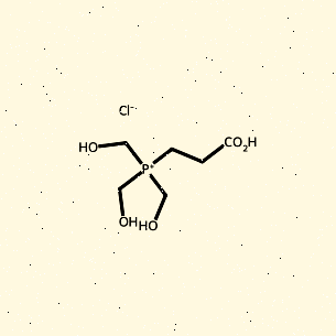 O=C(O)CC[P+](CO)(CO)CO.[Cl-]